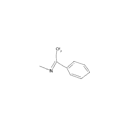 CN=C(c1ccccc1)C(F)(F)F